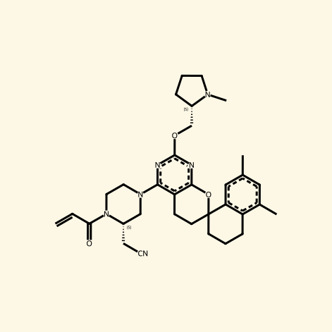 C=CC(=O)N1CCN(c2nc(OC[C@@H]3CCCN3C)nc3c2CCC2(CCCc4c(C)cc(C)cc42)O3)C[C@@H]1CC#N